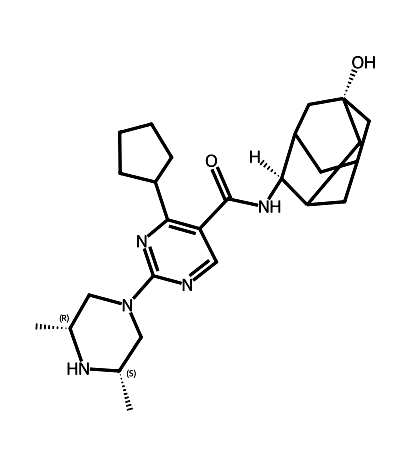 C[C@@H]1CN(c2ncc(C(=O)N[C@H]3C4CC5CC3C[C@](O)(C5)C4)c(C3CCCC3)n2)C[C@H](C)N1